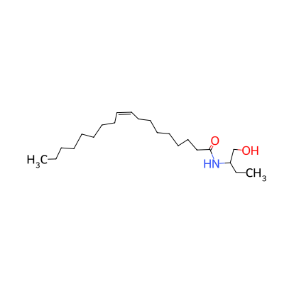 CCCCCCCC/C=C\CCCCCCCC(=O)NC(CC)CO